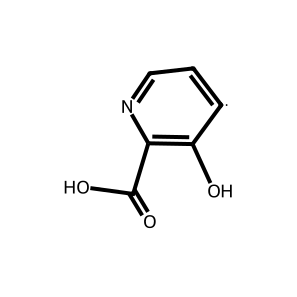 O=C(O)c1ncc[c]c1O